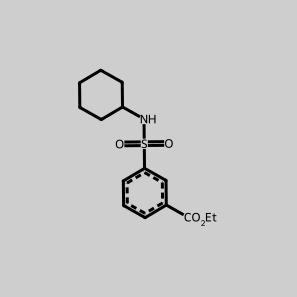 CCOC(=O)c1cccc(S(=O)(=O)NC2CCCCC2)c1